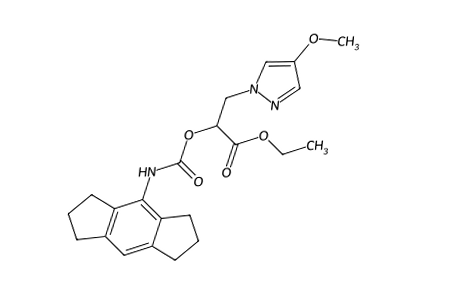 CCOC(=O)C(Cn1cc(OC)cn1)OC(=O)Nc1c2c(cc3c1CCC3)CCC2